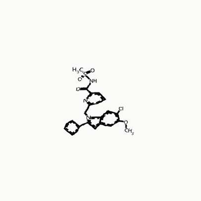 COc1cc2cc(-c3ccccc3)n(Cc3cccc(C(=O)NS(C)(=O)=O)n3)c2cc1Cl